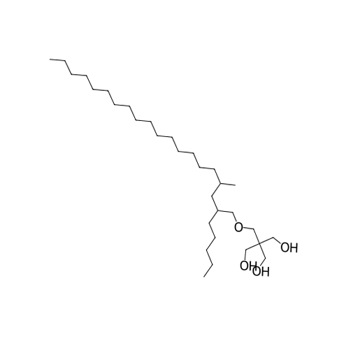 CCCCCCCCCCCCCCCCC(C)CC(CCCCC)COCC(CO)(CO)CO